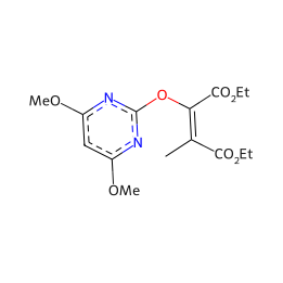 CCOC(=O)C(C)=C(Oc1nc(OC)cc(OC)n1)C(=O)OCC